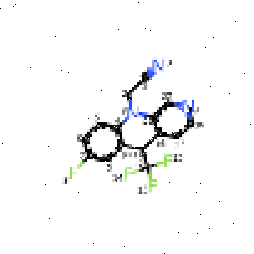 N#CCN1c2ccc(F)cc2C(C(F)(F)F)c2ccncc21